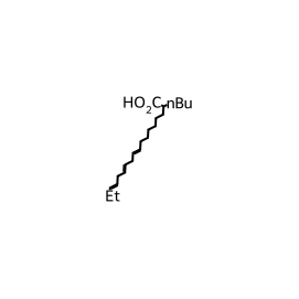 CCC=CCC=CCC=CCCCCCCC(CCCC)C(=O)O